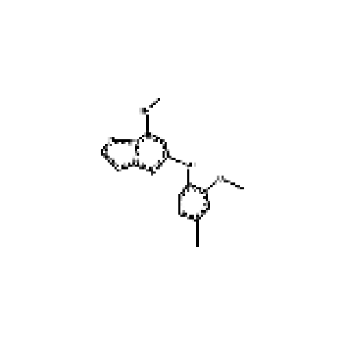 CNc1cc(Nc2ccc(C)cc2OC)nc2ccnn12